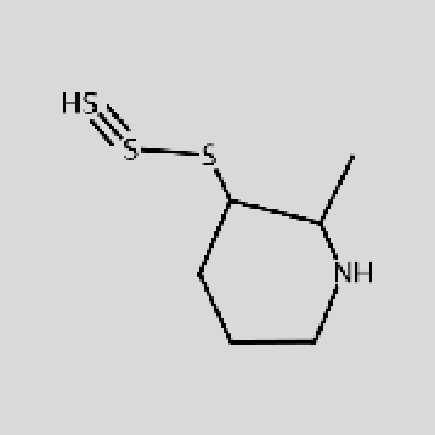 CC1NCCCC1SS#[SH]